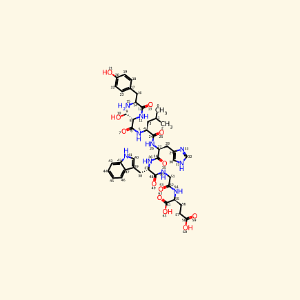 CC(C)C[C@H](NC(=O)[C@H](CO)NC(=O)[C@@H](N)Cc1ccc(O)cc1)C(=O)N[C@@H](Cc1c[nH]cn1)C(=O)N[C@@H](Cc1c[nH]c2ccccc12)C(=O)NCC(=O)N[C@@H](CCC(=O)O)C(=O)O